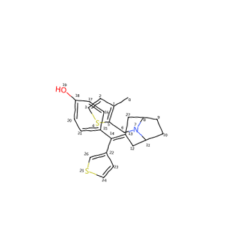 Cc1ccsc1CN1C2CCC1CC(=C(c1ccc(O)cc1)c1ccsc1)C2